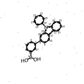 OB(O)c1cccc(-c2ccc3c4ccccc4n(-c4ccccc4)c3c2)c1